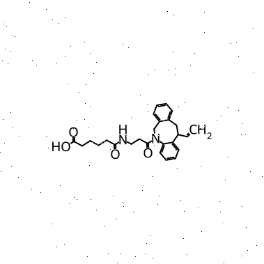 C=CC1Cc2ccccc2CN(C(=O)CCNC(=O)CCCCC(=O)O)c2ccccc21